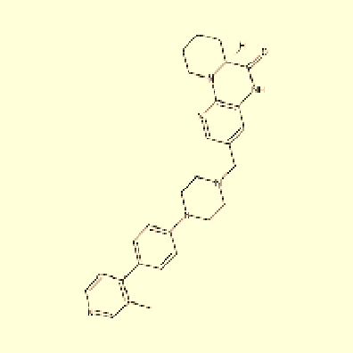 Cc1cnccc1-c1ccc(N2CCN(Cc3cnc4c(c3)NC(=O)[C@@H]3CCCCN43)CC2)cc1